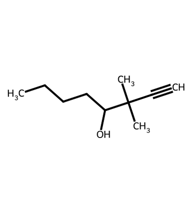 C#CC(C)(C)C(O)CCCC